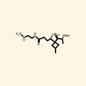 CN[C@@H](C)C(=O)C1([C@@H](CCC(=O)NCCNP)C(=O)O)CC(C)C1